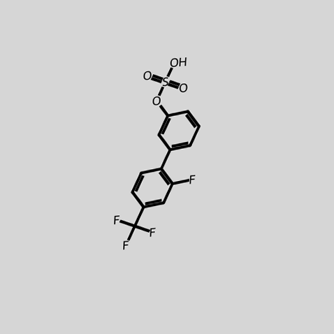 O=S(=O)(O)Oc1cccc(-c2ccc(C(F)(F)F)cc2F)c1